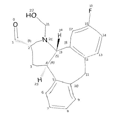 O=C[C@H]1C[C@@H]2c3ccccc3Cc3ccc(F)cc3[C@H]2N1CO